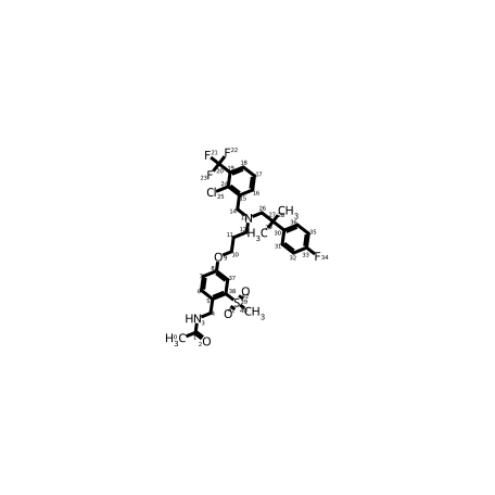 CC(=O)NCc1ccc(OCCCN(Cc2cccc(C(F)(F)F)c2Cl)CC(C)(C)c2ccc(F)cc2)cc1S(C)(=O)=O